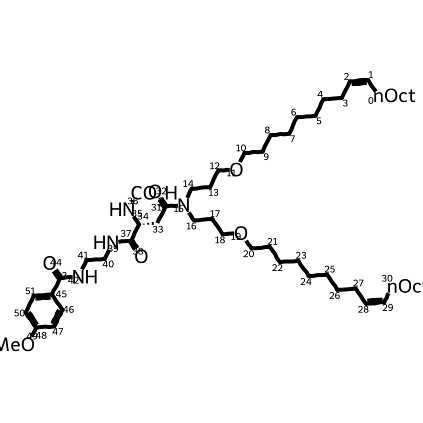 CCCCCCCC/C=C\CCCCCCCCOCCCN(CCCOCCCCCCCC/C=C\CCCCCCCC)C(=O)C[C@@H](NC(=O)O)C(=O)NCCNC(=O)c1ccc(OC)cc1